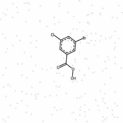 O=C(OO)c1cc(Cl)cc(Br)c1